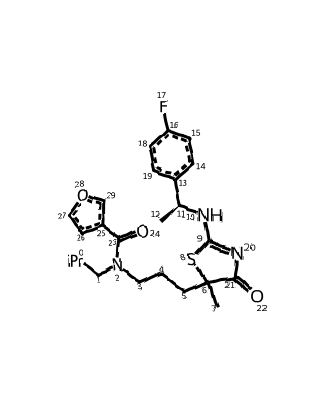 CC(C)CN(CCCC1(C)SC(N[C@@H](C)c2ccc(F)cc2)=NC1=O)C(=O)c1ccoc1